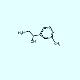 Cc1cc(C(O)CN)ccn1